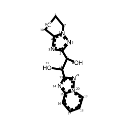 OC(c1nc2n(n1)CCCC2)C(O)c1nc2ccccn2n1